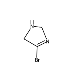 BrC1=N[C]NC1